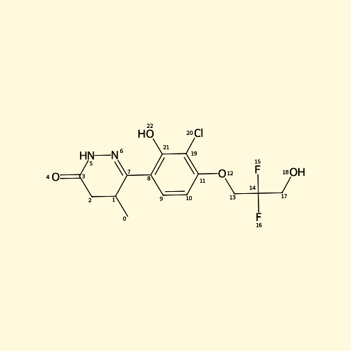 CC1CC(=O)NN=C1c1ccc(OCC(F)(F)CO)c(Cl)c1O